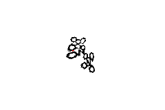 C1=CC2c3ccccc3C3(c4ccccc4-c4c(N(c5ccccc5)c5ccc([Si](c6ccccc6)(c6ccccc6)c6ccccc6)cc5)cccc43)C2C=C1